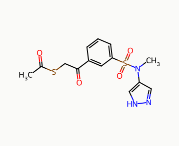 CC(=O)SCC(=O)c1cccc(S(=O)(=O)N(C)c2cn[nH]c2)c1